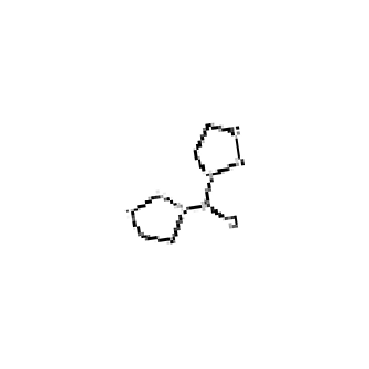 ClP(N1CCOO1)N1CCOO1